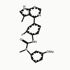 COc1cccc(N(C)C(=O)Nc2ccc(-c3ncnc4[nH]cc(C)c34)cc2F)c1